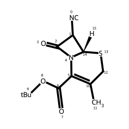 [C-]#[N+]C1C(=O)N2C(C(=O)OC(C)(C)C)=C(C)CS[C@@H]12